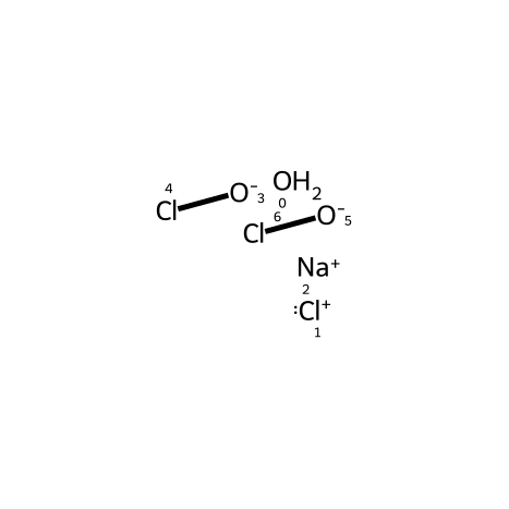 O.[Cl+].[Na+].[O-]Cl.[O-]Cl